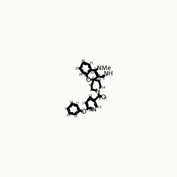 CNC1=C(C=N)C2(CCN(C(=O)c3ccc(Oc4ccccc4)nc3)CC2)Oc2ccccc21